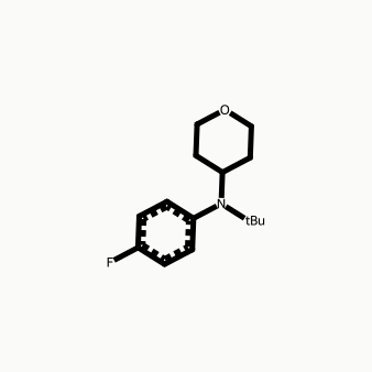 CC(C)(C)N(c1ccc(F)cc1)C1CCOCC1